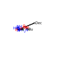 CCCCCCCCCCCCCCCCCCCCC(OC(=O)[C@@H](N)[C@@H](C)CC)C(=O)OC[C@H]1O[C@@H](n2cnc3c(=O)[nH]c(N)nc32)C[C@@H]1F